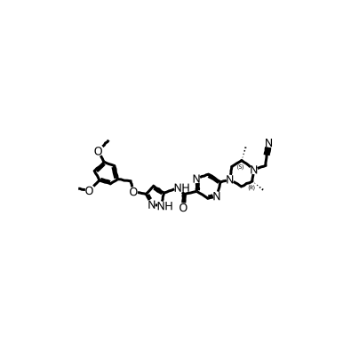 COc1cc(COc2cc(NC(=O)c3cnc(N4C[C@@H](C)N(CC#N)[C@@H](C)C4)cn3)[nH]n2)cc(OC)c1